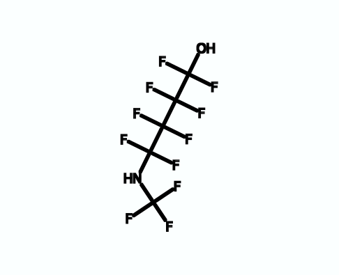 OC(F)(F)C(F)(F)C(F)(F)C(F)(F)NC(F)(F)F